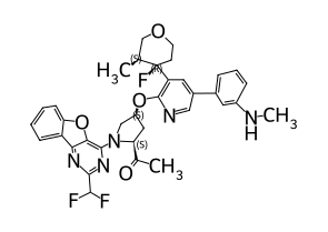 CNc1cccc(-c2cnc(O[C@H]3C[C@@H](C(C)=O)N(c4nc(C(F)F)nc5c4oc4ccccc45)C3)c([C@@]3(F)CCOC[C@@H]3C)c2)c1